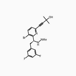 CNN[C@@H](Cc1cc(F)cc(F)c1)c1nc(C#CC(C)(C)O)ccc1Br